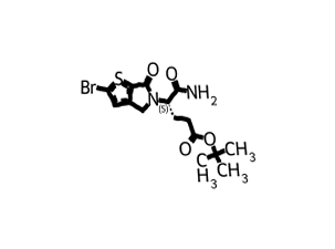 CC(C)(C)OC(=O)CC[C@@H](C(N)=O)N1Cc2cc(Br)sc2C1=O